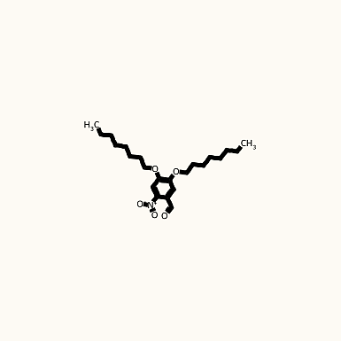 CCCCCCCCOc1cc(C=O)c([N+](=O)[O-])cc1OCCCCCCCC